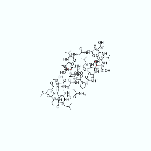 CSCC[C@H](NC(=O)[C@@H](NC(=O)[C@H](CC(C)C)NC(=O)[C@H](C)N)C(C)C)C(=O)N[C@H](C(=O)N[C@@H](CCC(N)=O)C(=O)N[C@H](C(=O)N1CCC[C@H]1C(=O)N[C@@H](C)C(=O)N[C@@H](CO)C(=O)N[C@H](C(=O)N[C@@H](CCC(=O)O)C(=O)N[C@@H](C)C(=O)N[C@@H](C)C(=O)N[C@H](C(=O)NCC(=O)NCC(=O)N[C@H](C(=O)N[C@H](C(=O)N[C@H](C(=O)O)[C@@H](C)O)C(C)C)[C@@H](C)O)C(C)C)C(C)C)[C@@H](C)O)[C@@H](C)O